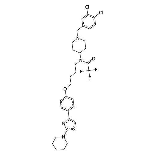 O=C(N(CCCCOc1ccc(-c2csc(N3CCCCC3)n2)cc1)C1CCN(Cc2ccc(Cl)c(Cl)c2)CC1)C(F)(F)F